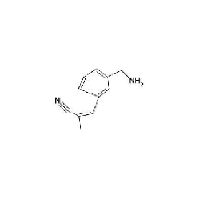 CC(C#N)=Cc1cccc(CN)c1